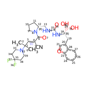 CC(C)(/C=C(\C#N)C(=O)N1CCC[C@@H]1CNC(=O)N[C@@H](Cc1coc2ccccc12)B(O)O)N1CCC(F)(F)CC1